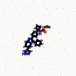 CC(C)(C)OC(=O)NC1(c2ccc(-c3nc4ccc(-c5cn[nH]c5)cn4c3-c3ccccc3)cc2)CCC1